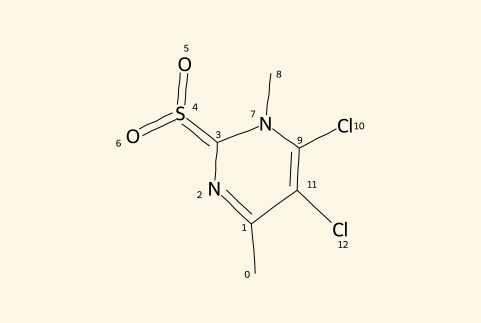 Cc1nc(=S(=O)=O)n(C)c(Cl)c1Cl